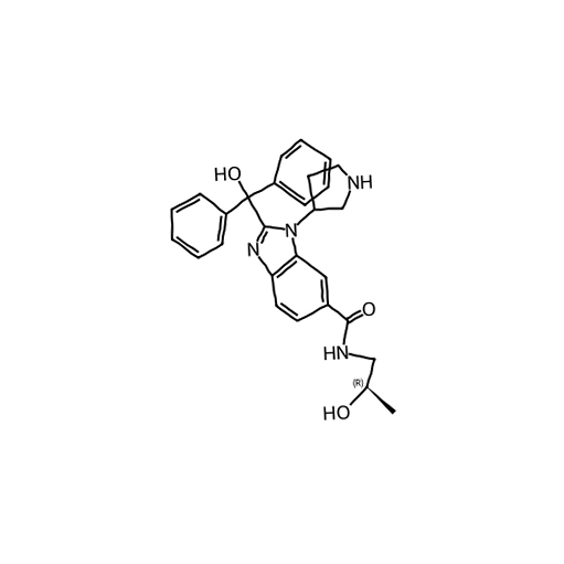 C[C@@H](O)CNC(=O)c1ccc2nc(C(O)(c3ccccc3)c3ccccc3)n(C3CCNC3)c2c1